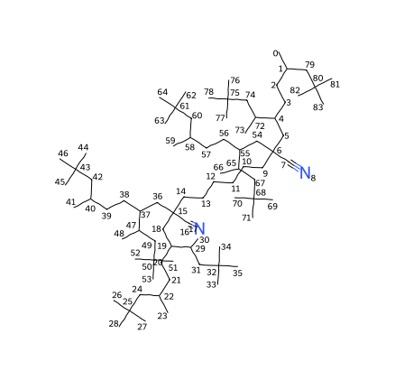 CC(CCC(CC(C#N)(CCCCCCC(C#N)(CC(CCC(C)CC(C)(C)C)C(C)CC(C)(C)C)CC(CCC(C)CC(C)(C)C)C(C)CC(C)(C)C)CC(CCC(C)CC(C)(C)C)C(C)CC(C)(C)C)C(C)CC(C)(C)C)CC(C)(C)C